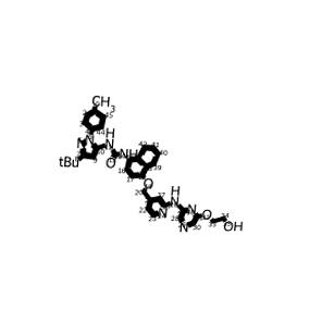 Cc1ccc(-n2nc(C(C)(C)C)cc2NC(=O)Nc2ccc(OCc3ccnc(Nc4cncc(OCCO)n4)c3)c3ccccc23)cc1